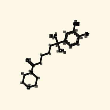 CC(C)(CCCCC(=O)N1CCOCC1)c1ccc(Br)c(O)c1